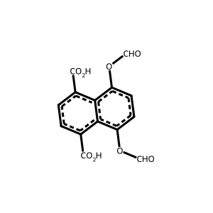 O=COc1ccc(OC=O)c2c(C(=O)O)ccc(C(=O)O)c12